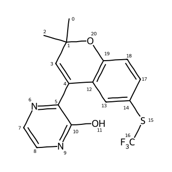 CC1(C)C=C(c2nccnc2O)c2cc(SC(F)(F)F)ccc2O1